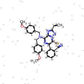 C=Cc1nc2c(N(Cc3ccc(OC)cc3)Cc3ccc(OC)cc3)nc(-c3ccccc3C#N)c(Br)n2n1